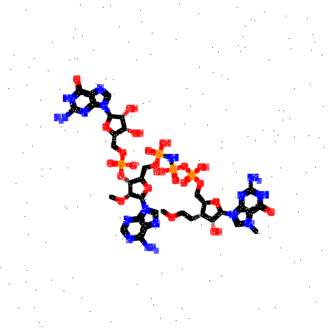 COCC[C@H]1[C@@H](O)[C@H](n2c[n+](C)c3c(=O)[nH]c(N)nc32)O[C@@H]1COP(=O)(O)OP(=O)(O)NP(=O)(O)OC[C@H]1O[C@@H](n2cnc3c(N)ncnc32)[C@H](OC)[C@@H]1OP(=O)([O-])OC[C@H]1O[C@@H](n2cnc3c(=O)[nH]c(N)nc32)[C@H](O)[C@@H]1O